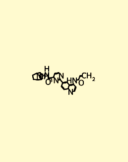 C=CC(=O)Nc1ccnc2ccc(-c3nccc(C(=O)NC4CC5CCC(C4)N5C)n3)cc12